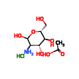 CC(=O)O.Cl.N[C@H]1C(O)O[C@H](CO)[C@@H](O)[C@@H]1O